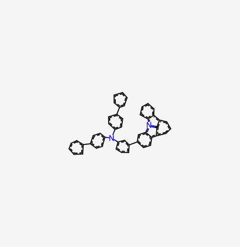 c1ccc(-c2ccc(N(c3ccc(-c4ccccc4)cc3)c3cccc(-c4ccc5c6cccc7c8ccccc8n(c5c4)c76)c3)cc2)cc1